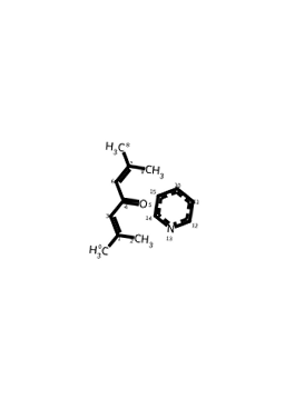 CC(C)=CC(=O)C=C(C)C.c1ccncc1